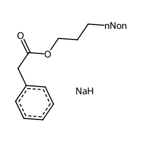 CCCCCCCCCCCCOC(=O)Cc1ccccc1.[NaH]